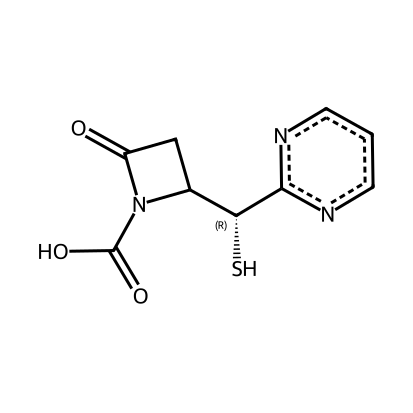 O=C(O)N1C(=O)CC1[C@@H](S)c1ncccn1